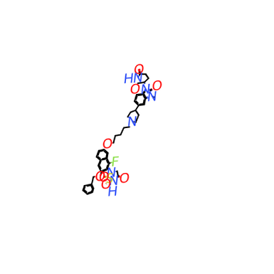 Cn1c(=O)n(C2CCC(=O)NC2=O)c2ccc(C3CCN(CCCCCOc4ccc5cc(OCc6ccccc6)c(N6CC(=O)NS6(=O)=O)c(F)c5c4)CC3)cc21